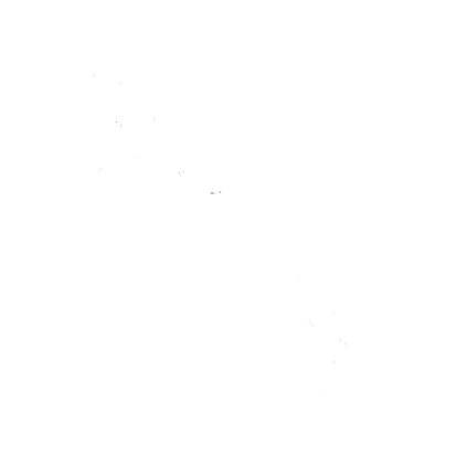 CC1C=CC=CC1N(c1ccccc1)C1(C)C=CC(/C=C/c2ccc(-c3ccc(/C=C/c4ccc(N(c5ccccc5)c5ccccc5)cc4)cc3)cc2)=CC1